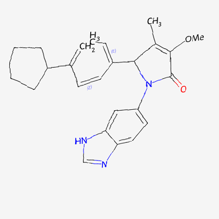 C=C(/C=C\C(=C/C)C1C(C)=C(OC)C(=O)N1c1ccc2nc[nH]c2c1)C1CCCCC1